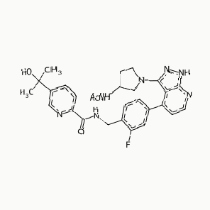 CC(=O)NC1CCN(c2n[nH]c3nccc(-c4ccc(CNC(=O)c5ccc(C(C)(C)O)cn5)c(F)c4)c23)C1